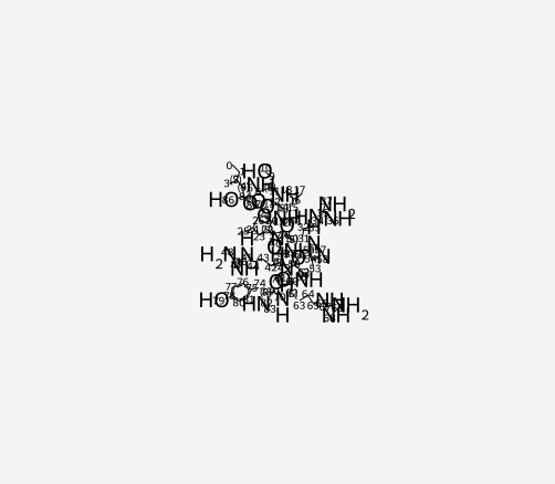 CC[C@H](C)[C@H](NC(=O)[C@H](CO)NC(=O)[C@H](CC(C)C)NC(=O)[C@H](CC(C)C)NC(=O)[C@H](CCCNC(=N)N)NC(=O)[C@H](CCCNC(=N)N)NC(=O)[C@H](Cc1c[nH]cn1)NC(=O)[C@H](CCCNC(=N)N)NC(=O)[C@@H](Cc1ccc(O)cc1)NC)C(=O)O